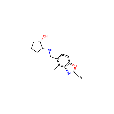 Cc1c(CN[C@@H]2CCC[C@@H]2O)ccc2oc(C(C)C)nc12